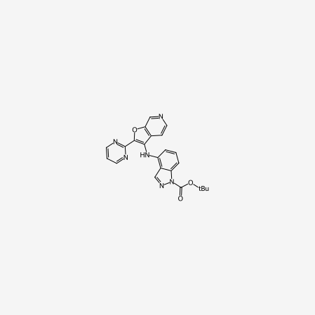 CC(C)(C)OC(=O)n1ncc2c(Nc3c(-c4ncccn4)oc4cnccc34)cccc21